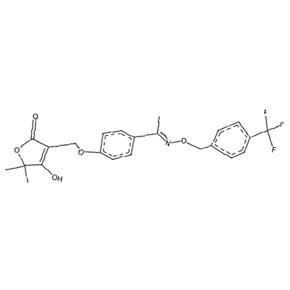 C/C(=N\OCc1ccc(C(F)(F)F)cc1)c1ccc(OCC2=C(O)C(C)(C)OC2=O)cc1